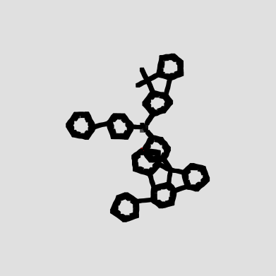 CC1(C)c2ccccc2-c2ccc(N(c3ccc(-c4ccccc4)cc3)c3ccc(C45c6ccccc6-c6ccc(-c7ccccc7)c(c64)-c4ccccc45)cc3)cc21